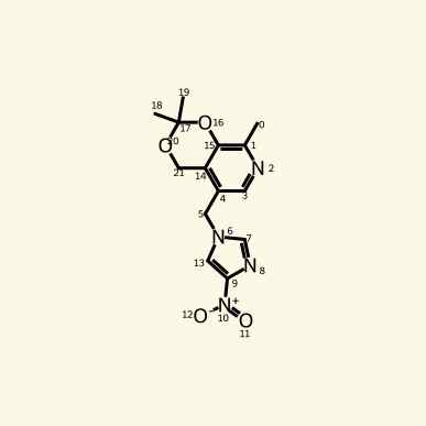 Cc1ncc(Cn2cnc([N+](=O)[O-])c2)c2c1OC(C)(C)OC2